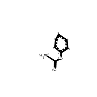 O=C([SiH3])Oc1ccccc1